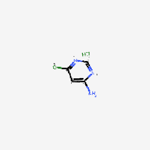 Cl.Nc1cc(Cl)ncn1